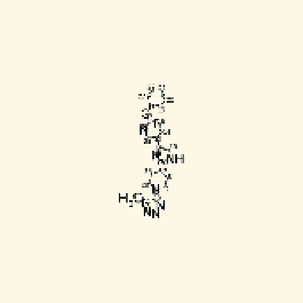 Cn1nnnc1N1CCC(c2nc(-c3cnc(Oc4ccccc4)nc3)c[nH]2)CC1